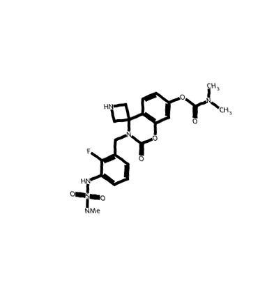 CNS(=O)(=O)Nc1cccc(CN2C(=O)Oc3cc(OC(=O)N(C)C)ccc3C23CNC3)c1F